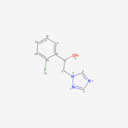 OC(Cn1cncn1)c1ccccc1F